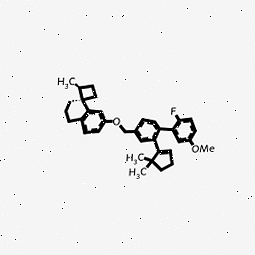 COc1ccc(F)c(-c2ccc(COc3ccc4c(c3)[C@]3(CCC4)CC[C@@H]3C)cc2C2=CCCC2(C)C)c1